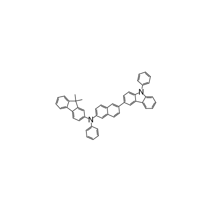 CC1(C)c2ccccc2-c2ccc(N(c3ccccc3)c3ccc4cc(-c5ccc6c(c5)c5ccccc5n6-c5ccccc5)ccc4c3)cc21